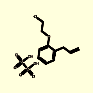 C=CCc1ccccc1OCC[O].O=S(=O)(O)S(=O)(=O)O